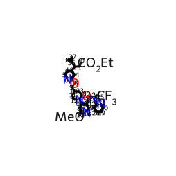 CCOC(=O)CC(c1ccnc(OCC2CCN(c3cc(OC)ncc3C(=O)N(CC(F)(F)F)c3ccccn3)CC2)c1)C1CC1